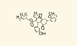 CCC(CC)COC(=O)C1=C(C)NC2=C(C(=O)CC(c3ccccc3OC)C2)C1c1cccc(O)c1